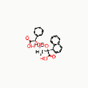 COC(C)(C(=O)O)c1cccc2ccccc12.O=C(O)C(O)c1ccccc1